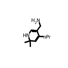 CCCC1=CC(C)(C)NC=C1CN